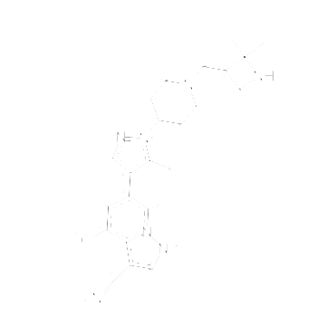 COc1cc(-c2cnn(C3CCN(CC4CNC4(C)C)CC3)c2C)cn2ncc(C#N)c12